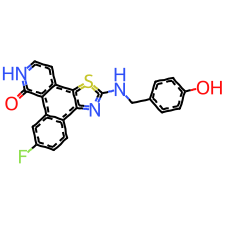 O=c1[nH]ccc2c3sc(NCc4ccc(O)cc4)nc3c3ccc(F)cc3c12